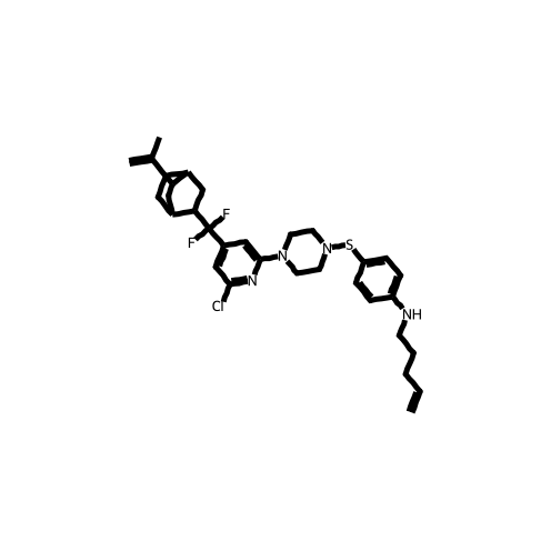 C=CCCCNc1ccc(SN2CCN(c3cc(C(F)(F)C4CC5CCC4CC5C(=C)C)cc(Cl)n3)CC2)cc1